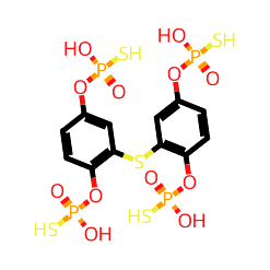 O=P(O)(S)Oc1ccc(OP(=O)(O)S)c(Sc2cc(OP(=O)(O)S)ccc2OP(=O)(O)S)c1